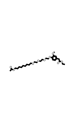 CCOC(=O)Cc1ccc(OCCOCCOCCOCCCCCCCCCSC(C)=O)c(OC)c1